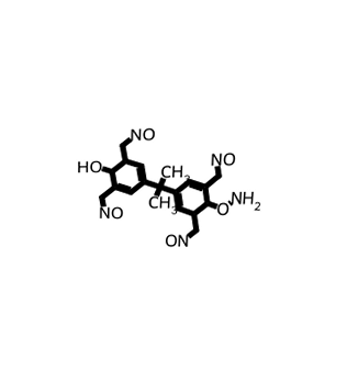 CC(C)(C1=CC(CN=O)C(O)C(CN=O)=C1)C1=CC(CN=O)C(ON)C(CN=O)=C1